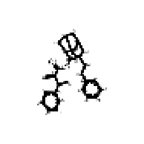 C=C(C(=O)OC1C2CC3CC(C2)CC1(CCc1ccccc1)C3)C(C)c1ccccc1